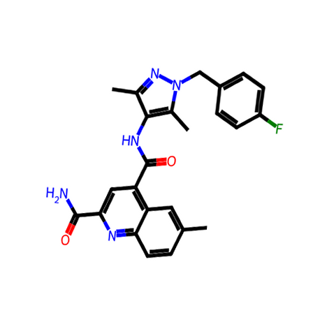 Cc1ccc2nc(C(N)=O)cc(C(=O)Nc3c(C)nn(Cc4ccc(F)cc4)c3C)c2c1